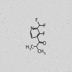 CC(C)C(=O)c1ccnc(C(F)F)c1F